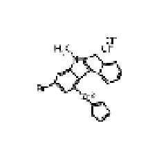 Cn1c2c(c3[c]([Zr+2][C]4=CC=CC4)cc(Br)cc31)-c1ccccc1C2.[Cl-].[Cl-]